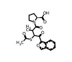 CC(=O)SC(C(=O)c1occ2ccccc12)C(C)C(=O)N1CCC[C@H]1C(=O)O